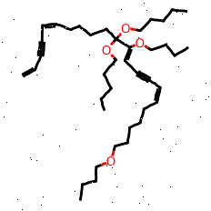 C=CC#C/C=C\CCCCC(OCCCCC)(OCCCCC)C(=CC#C/C=C\CCCCCOCCCC)OCCCC